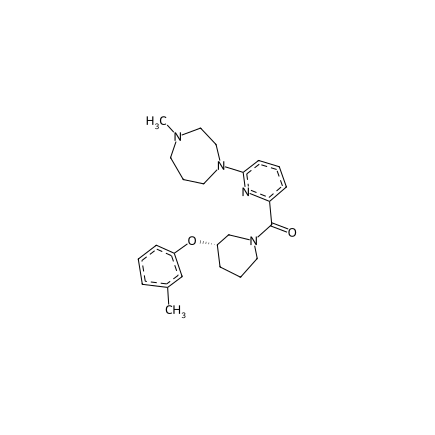 Cc1cccc(O[C@H]2CCCN(C(=O)c3cccc(N4CCCN(C)CC4)n3)C2)c1